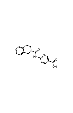 O=C(O)c1ccc(NC(=O)N2CCc3ccccc3C2)nc1